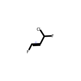 F/C=C/C(F)Cl